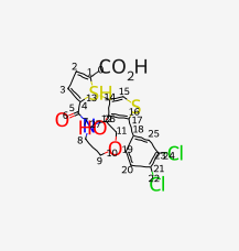 O=C(O)C1=CC=C(C(=O)N2CCOCC2)[SH]1c1csc(-c2ccc(Cl)c(Cl)c2)c1O